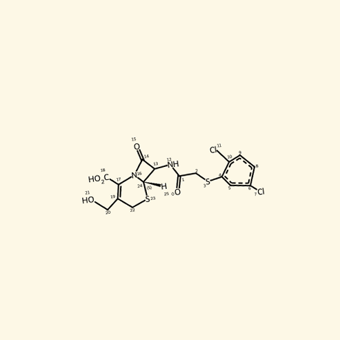 O=C(CSc1cc(Cl)ccc1Cl)NC1C(=O)N2C(C(=O)O)=C(CO)CS[C@@H]12